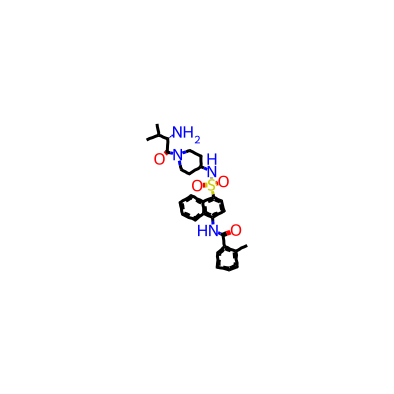 Cc1ccccc1C(=O)Nc1ccc(S(=O)(=O)NC2CCN(C(=O)[C@@H](N)C(C)C)CC2)c2ccccc12